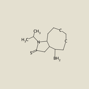 BC1CCCCCCC2C1CC(=S)N2C(C)C